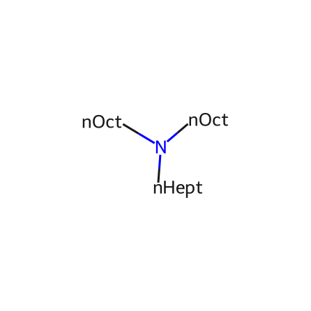 CCCCCCCCN(CCCCCCC)CCCCCCCC